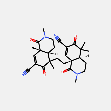 CN1CC[C@H]2C(C)(CC[C@@]34C=C(C#N)C(=O)C(C)(C)[C@H]3CCN(C)C4=O)C(=O)C(C#N)=C[C@]2(C)C1=O